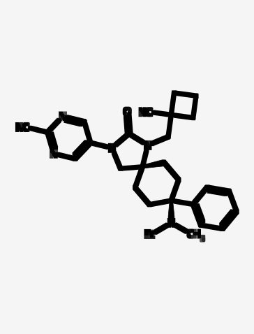 CCN(C)[C@]1(c2ccccc2)CC[C@@]2(CC1)CN(c1cnc(C#N)nc1)C(=O)N2CC1(C#N)CCC1